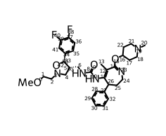 COCCN1C[C@@H](CNC(=O)NC2=C(C)C(OC3CCN(C)CC3)=NCCC2c2ccccc2)[C@H](c2ccc(F)c(F)c2)O1